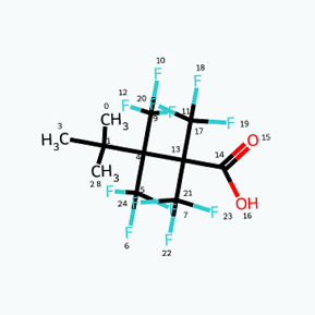 CC(C)(C)C(C(F)(F)F)(C(F)(F)F)C(C(=O)O)(C(F)(F)F)C(F)(F)F